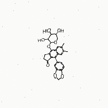 Cc1cc2c(OC3OCC(O)C(O)C3O)c3c(c(-c4ccc5c(c4)OCO5)c2cc1C)C(=O)CC3